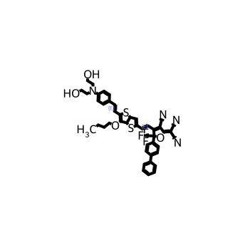 CCCCOC1=C(/C=C/c2ccc(N(CCO)CCO)cc2)SC2C=C(/C=C/C3=C(C#N)C(=C(C#N)C#N)OC3(c3ccc(-c4ccccc4)cc3)C(F)(F)F)SC12